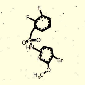 COc1nc(NS(=O)(=O)Cc2cccc(F)c2F)ccc1Br